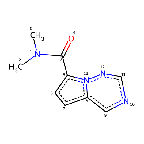 CN(C)C(=O)c1ccc2cncnn12